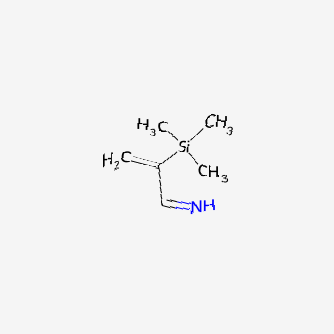 C=C(C=N)[Si](C)(C)C